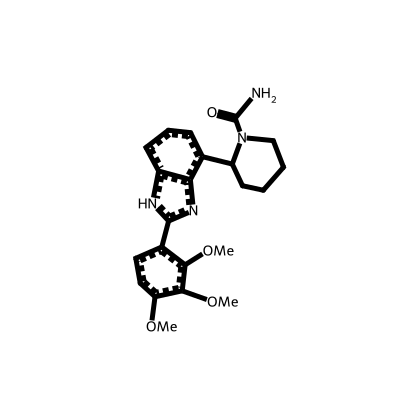 COc1ccc(-c2nc3c(C4CCCCN4C(N)=O)cccc3[nH]2)c(OC)c1OC